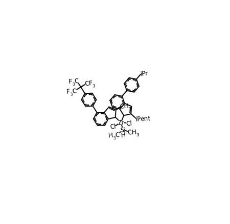 CCCC(C)C1=Cc2c(-c3ccc(C(C)C)cc3)cccc2[CH]1[Zr]([Cl])([Cl])([CH]1C(C)=Cc2c(-c3ccc(C(C(F)(F)F)(C(F)(F)F)C(F)(F)F)cc3)cccc21)[SiH](C)C